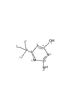 CC(C)(C)c1cc(O)nc(S)n1